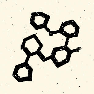 Fc1ccc(C=C2CCCN=C2c2cccnc2)cc1-c1ccccc1Oc1ccccc1